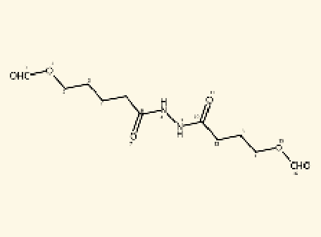 O=COCCCCC(=O)NNC(=O)CCCOC=O